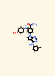 Cc1cccc(Nc2ncnc3c2ccn3-c2ccc(C(N)=O)c(NC3CCC(O)CC3)c2)c1